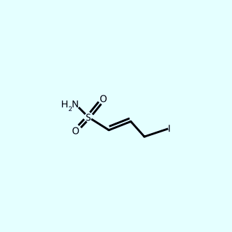 NS(=O)(=O)C=CCI